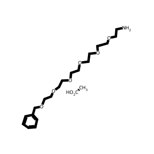 CC(=O)O.NCCOCCOCCOCCOCCOCCOCc1ccccc1